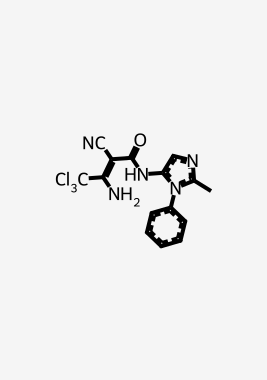 Cc1ncc(NC(=O)C(C#N)=C(N)C(Cl)(Cl)Cl)n1-c1ccccc1